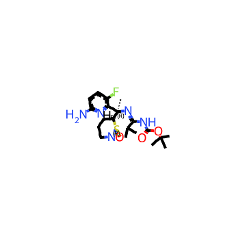 CC(C)(C)OC(=O)NC1=N[C@](C)(c2nc(N)ccc2F)[C@H]2CCCN=[S@]2(=O)C1(C)C